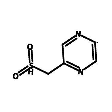 O=[SH](=O)Cc1cn[c]cn1